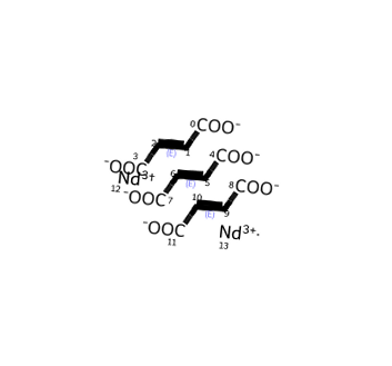 O=C([O-])/C=C/C(=O)[O-].O=C([O-])/C=C/C(=O)[O-].O=C([O-])/C=C/C(=O)[O-].[Nd+3].[Nd+3]